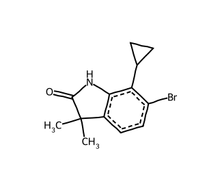 CC1(C)C(=O)Nc2c1ccc(Br)c2C1CC1